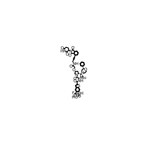 CC(C)(C)[C@H](NC(=O)c1cc2cc(C(F)(F)P(=O)(O)O)ccc2s1)C(=O)N1C[C@@H](OCC(=O)NCC#Cc2cccc3c2C(=O)N(C2CCC(=O)NC2=O)C3=O)C[C@H]1C(=O)N1CCO[C@H](c2ccccc2)C1